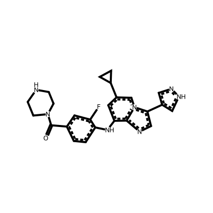 O=C(c1ccc(Nc2cc(C3CC3)cn3c(-c4cn[nH]c4)cnc23)c(F)c1)N1CCNCC1